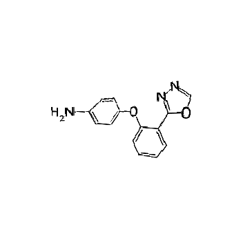 Nc1ccc(Oc2ccccc2-c2nnco2)cc1